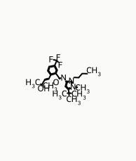 CCCCCn1c(=NC(=O)c2cc(C(F)(F)F)ccc2C=CC(C)(C)O)cc(C(C)(C)C)n1C